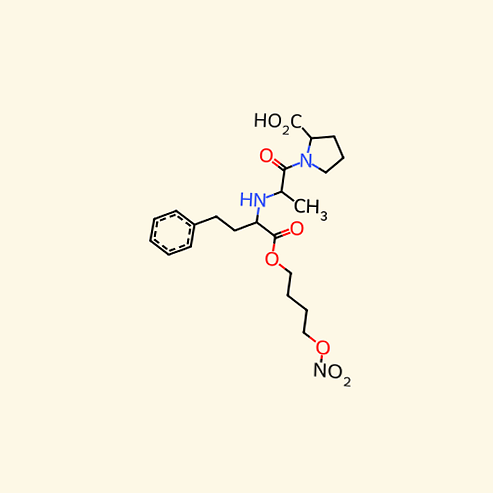 CC(NC(CCc1ccccc1)C(=O)OCCCCO[N+](=O)[O-])C(=O)N1CCCC1C(=O)O